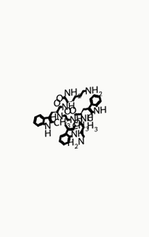 Cc1[nH]c2ccccc2c1C[C@H](NC(=O)[C@@H](Cc1c(C)[nH]c2ccccc12)NC(=O)[C@@H](Cc1c(C)[nH]c2ccccc12)NC(=O)CCCN)C(=O)N[C@@H](CCCCN)C(N)=O